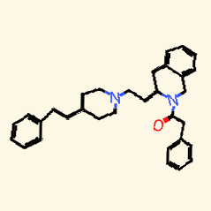 O=C(Cc1ccccc1)N1Cc2ccccc2CC1CCN1CCC(CCc2ccccc2)CC1